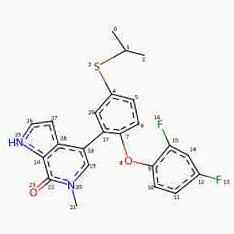 CC(C)Sc1ccc(Oc2ccc(F)cc2F)c(-c2cn(C)c(=O)c3[nH]ccc23)c1